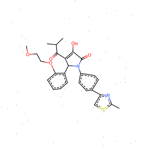 COCCOc1ccccc1C1C(C(=O)C(C)C)=C(O)C(=O)N1c1ccc(-c2csc(C)n2)cc1